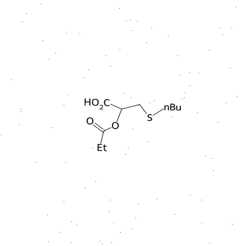 CCCCSCC(OC(=O)CC)C(=O)O